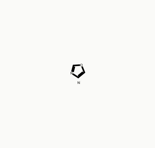 [N].c1cocn1